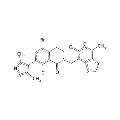 Cc1nnn(C)c1-c1cc(Br)c2c(c1Cl)C(=O)N(Cc1c(=O)[nH]c(C)c3ccsc13)CC2